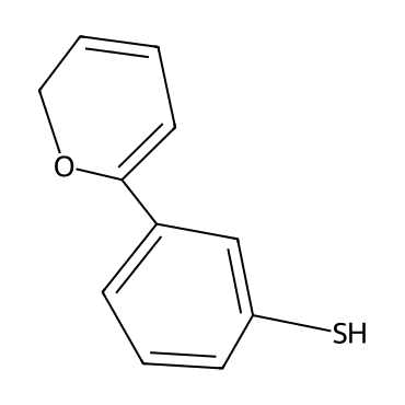 Sc1cccc(C2=CC=CCO2)c1